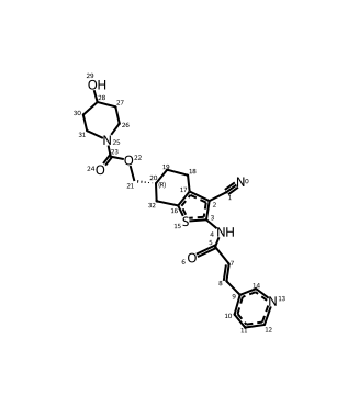 N#Cc1c(NC(=O)C=Cc2cccnc2)sc2c1CC[C@@H](COC(=O)N1CCC(O)CC1)C2